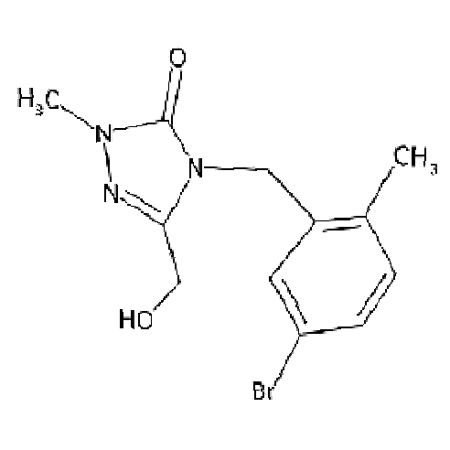 Cc1ccc(Br)cc1Cn1c(CO)nn(C)c1=O